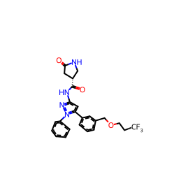 O=C1C[C@@H](C(=O)Nc2cc(-c3cccc(COCCC(F)(F)F)c3)n(-c3ccccc3)n2)CN1